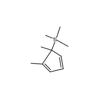 CC1=CC=C[C]1(C)[Ti]([CH3])([CH3])[CH3]